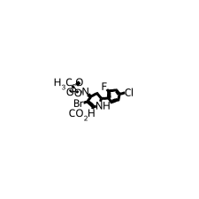 CS(=O)(=O)O/N=C1/CC(c2ccc(Cl)cc2F)NC(C(=O)O)=C1Br